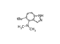 CN(C)c1c(C(C)(C)C)ccc2[nH]ncc12